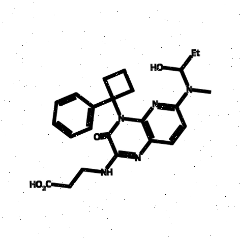 CCC(O)N(C)c1ccc2nc(NCCC(=O)O)c(=O)n(C3(c4ccccc4)CCC3)c2n1